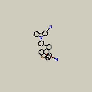 N#Cc1cccc(-c2cccc(-c3cccc(-n4c5ccccc5c5cc(C#N)ccc54)c3)c2-c2cccc3sc4ccccc4c23)c1